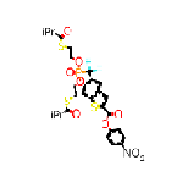 CC(C)C(=O)SCCOP(=O)(OCCSC(=O)C(C)C)C(F)(F)c1ccc2sc(C(=O)Oc3ccc([N+](=O)[O-])cc3)cc2c1